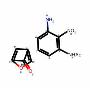 CC(=O)Nc1cccc(N)c1[N+](=O)[O-].O=C1c2coc1c2